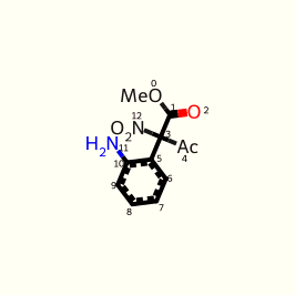 COC(=O)C(C(C)=O)(c1ccccc1N)[N+](=O)[O-]